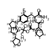 CC(C)(C)OC(=O)N1C2CCC(C2)C1C(=O)N[C@@H](Cc1ccc(N2CCC3CN(C4CCOC4)CC32)cc1F)C(N)=O